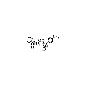 O=C(CN1C(=O)C(c2ccc(C(F)(F)F)cc2)=NC12CCCC2)NCC1(O)CCCCC1